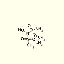 CC.CS(=O)(=O)N(O)S(C)(=O)=O